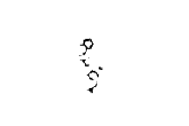 O=C(N[C@@H]1CCN(CC2CC2)C[C@H]1C(=O)O)c1noc(-c2ccc(F)cc2F)n1